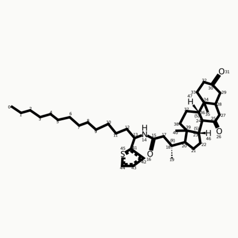 CCCCCCCCCCCCCC(NC(=O)C[C@@H](C)C1CC[C@H]2C3C(=O)CC4CC(=O)CCC4(C)[C@H]3CCC12C)c1cccs1